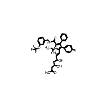 CC(C)n1c(C=CC(O)CC(O)CC(=O)O)c(-c2ccc(F)cc2)c(-c2ccccc2)c1C(=O)NCc1cccc(OC(F)(F)F)c1